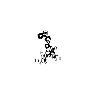 CCC1C(=O)N(C[C@H]2CCC[C@@H]2CN2CCC(c3noc4ccccc34)CC2)C(=O)C1C(C)C(C)CNC(C)=O